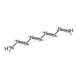 N=N/N=N/N=N/N=N/N